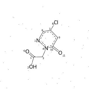 O=C(O)Cn1ncc(Cl)cc1=O